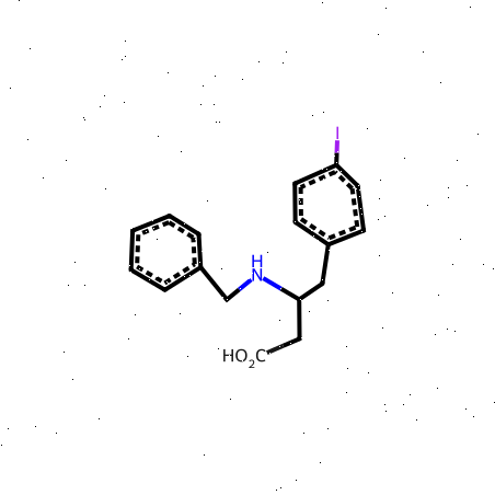 O=C(O)CC(Cc1ccc(I)cc1)NCc1ccccc1